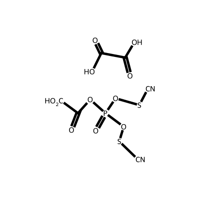 N#CSOP(=O)(OSC#N)OC(=O)C(=O)O.O=C(O)C(=O)O